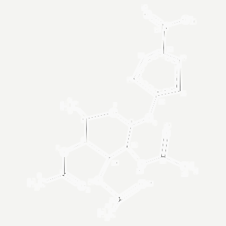 CC(=O)OC1C(C)OC(Oc2ccc([N+](=O)[O-])cc2)C(OC(C)=O)C1OC(C)=O